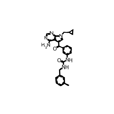 Cc1cccc(CNC(=O)Nc2cccc(C(=O)c3cn(CC4CC4)c4ncnc(N)c34)c2)c1